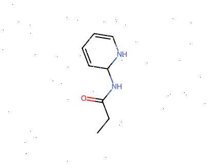 CCC(=O)NC1C=CC=CN1